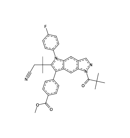 COC(=O)c1ccc(-c2c(C(C)(C)CC#N)n(-c3ccc(F)cc3)c3cc4cnn(C(=O)C(C)(C)C)c4cc23)cc1